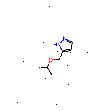 CC(C)OCc1ccn[nH]1